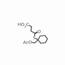 CC(=O)OCC1(SC(=O)CCC(=O)O)CCCCC1